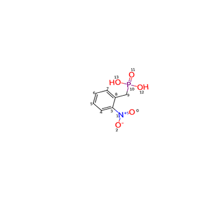 O=[N+]([O-])c1ccccc1CP(=O)(O)O